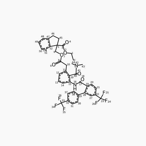 CCOC(=O)C1(COC(=O)Cc2cccc(NC(=O)c3ccc(C(F)(F)F)cc3-c3ccc(C(F)(F)F)cc3)c2C(=O)N(C)C)CCc2cccnc21